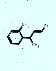 CCC=CC(C)C1CC=CC=C1N